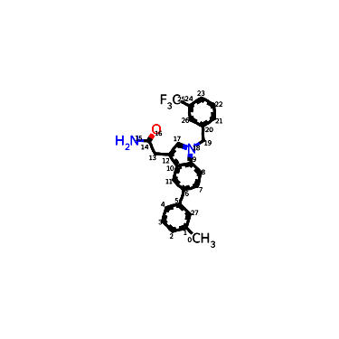 Cc1cccc(-c2ccc3c(c2)c(CC(N)=O)cn3Cc2cccc(C(F)(F)F)c2)c1